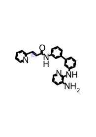 Nc1cccnc1Nc1cccc(-c2cccc(NC(=O)/C=C/c3ccccn3)c2)c1